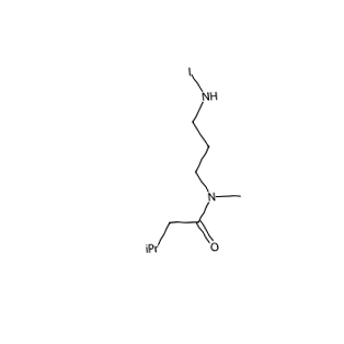 CC(C)CC(=O)N(C)CCCNI